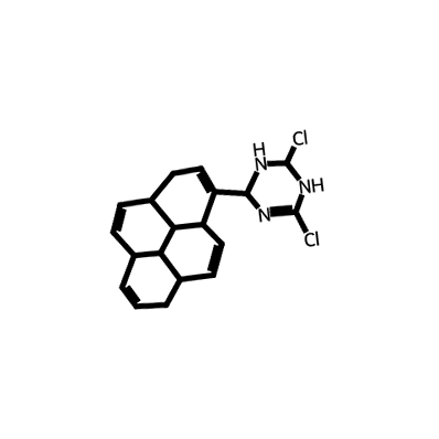 ClC1=NC(C2=CCC3C=CC4C=CCC5C=CC2C3C45)NC(Cl)N1